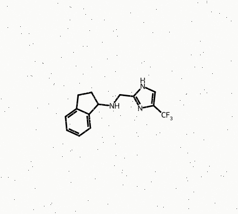 FC(F)(F)c1c[nH]c(CNC2CCc3ccccc32)n1